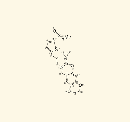 COC(=O)c1ccc(CCCN(Cc2ccc3c(c2)OCCO3)C(=O)C2CC2)s1